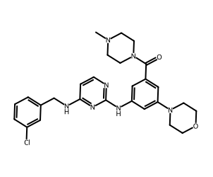 CN1CCN(C(=O)c2cc(Nc3nccc(NCc4cccc(Cl)c4)n3)cc(N3CCOCC3)c2)CC1